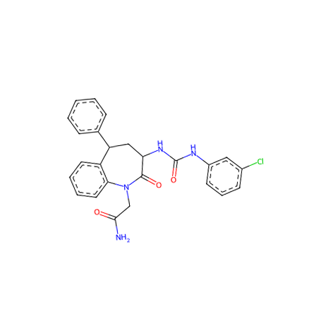 NC(=O)CN1C(=O)C(NC(=O)Nc2cccc(Cl)c2)CC(c2ccccc2)c2ccccc21